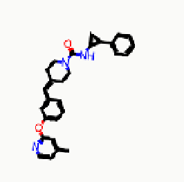 Cc1ccnc(Oc2cccc(C=C3CCN(C(=O)NC4CC4c4ccccc4)CC3)c2)c1